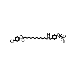 CCOC(=O)C(C)(C)Oc1ccc(CNCCCCCCCCCCCCC(=O)Oc2ccc(Cl)cc2)cc1